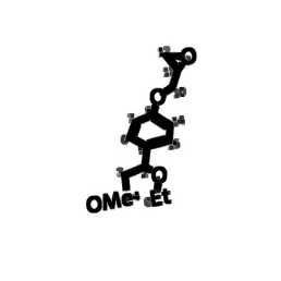 CCOC(COC)c1ccc(OCC2CO2)cc1